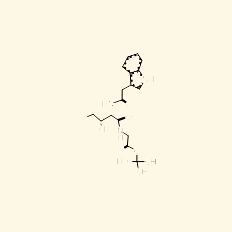 CC[C@H](C)[C@H](NC(=O)Cc1c[nH]c2ccccc12)C(=O)NCC(=O)OC(C)(C)C